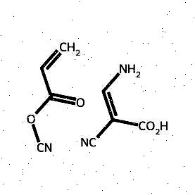 C=CC(=O)OC#N.N#CC(=CN)C(=O)O